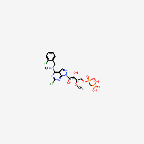 CO[C@H](COP(=O)(O)CP(=O)(O)O)[C@@H](O)[C@@H](O)n1ncc2c(N(C)Cc3ccccc3Cl)nc(Cl)nc21